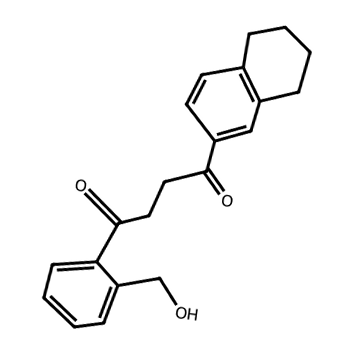 O=C(CCC(=O)c1ccccc1CO)c1ccc2c(c1)CCCC2